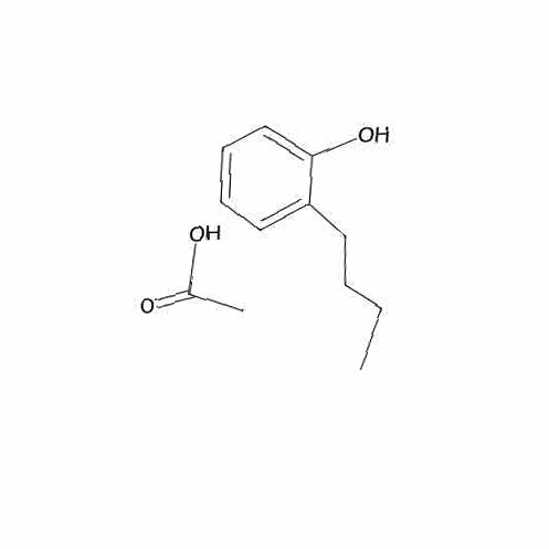 CC(=O)O.CCCCc1ccccc1O